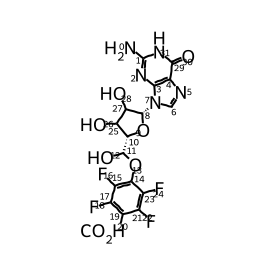 Nc1nc2c(ncn2[C@@H]2O[C@H](C(O)Oc3c(F)c(F)c(C(=O)O)c(F)c3F)C(O)C2O)c(=O)[nH]1